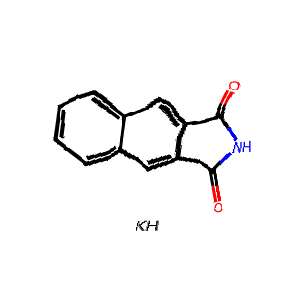 O=C1NC(=O)c2cc3ccccc3cc21.[KH]